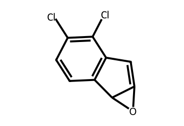 Clc1ccc2c(c1Cl)C=C1OC12